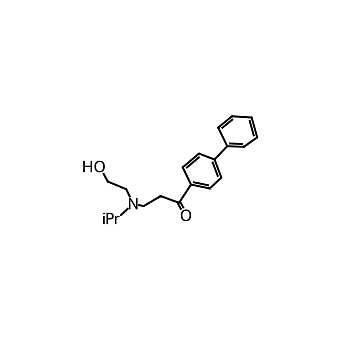 CC(C)N(CCO)CCC(=O)c1ccc(-c2ccccc2)cc1